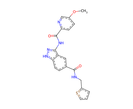 COc1ccc(C(=O)Nc2n[nH]c3ccc(C(=O)NCc4cccs4)cc23)nc1